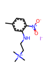 Cc1ccc([N+](=O)[O-])c(NCC[N+](C)(C)C)c1.[I-]